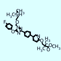 COC(=O)C(C)(C)COc1ccc(-c2ccc(-c3nc(Oc4ccc(F)cc4)n(COCC[SiH](C)C)n3)cc2)cn1